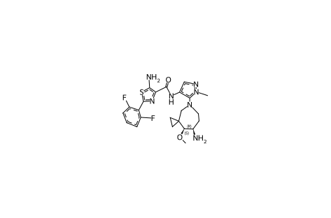 CO[C@@H]1[C@H](N)CCN(c2c(NC(=O)c3nc(-c4c(F)cccc4F)sc3N)cnn2C)CC12CC2